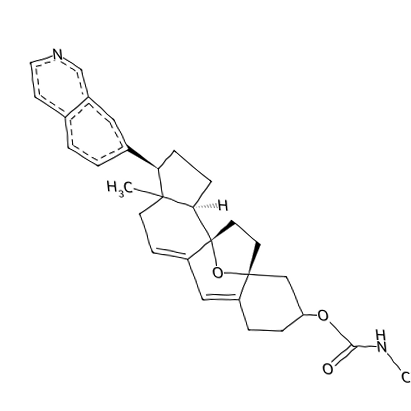 CNC(=O)OC1CCC2=CC3=CCC4(C)[C@@H](c5ccc6ccncc6c5)CC[C@H]4[C@@]34CC[C@]2(C1)O4